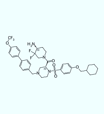 N[C@H]1CCN(C(=O)[C@@H]2CN(Cc3ccc(-c4ccc(OC(F)(F)F)cc4)cc3)CCN2S(=O)(=O)c2ccc(OCC3CCCCC3)cc2)CC1(F)F